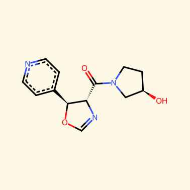 O=C([C@@H]1N=CO[C@H]1c1ccncc1)N1CC[C@@H](O)C1